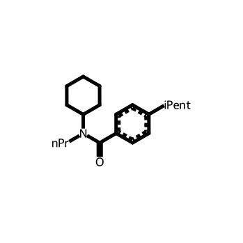 CCCC(C)c1ccc(C(=O)N(CCC)C2CCCCC2)cc1